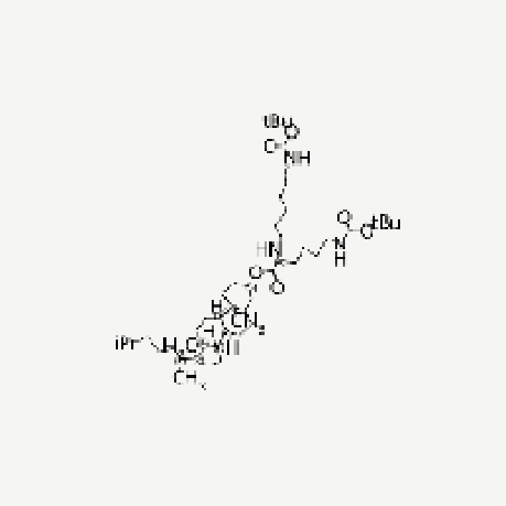 CC(C)CCC[C@@H](C)[C@H]1CC[C@H]2[C@@H]3CC=C4C[C@@H](OC(=O)[C@H](CCCCNC(=O)OC(C)(C)C)NCCCCCCNC(=O)OC(C)(C)C)CC[C@]4(C)[C@H]3CC[C@]12C